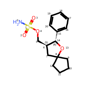 NS(=O)(=O)OC[C@@H]1CC2(CCCC2)O[C@H]1c1ccccc1